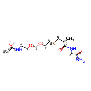 CCC(C)C(=O)NCCOCOCCSCC(C)C(=O)NCC(N)=O